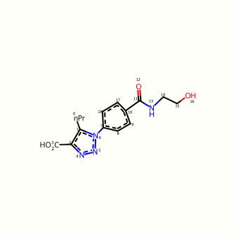 CCCc1c(C(=O)O)nnn1-c1ccc(C(=O)NCCO)cc1